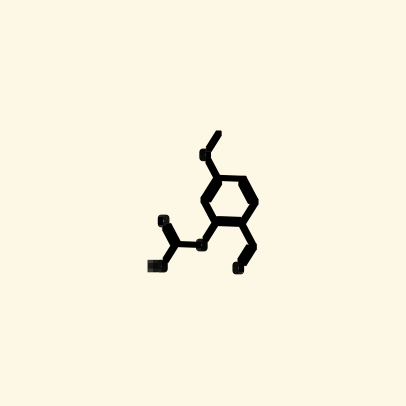 COc1ccc(C=O)c(OC(=O)O)c1